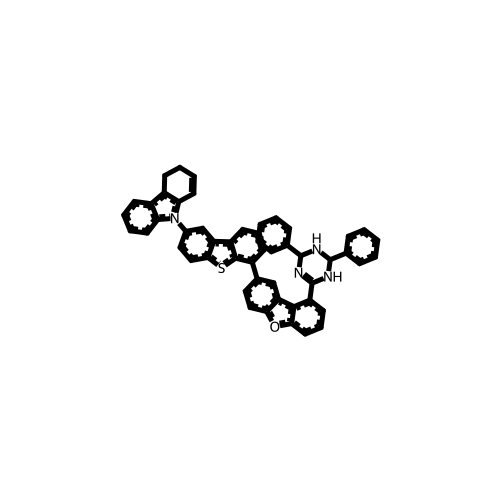 C1=Cc2c(c3ccccc3n2-c2ccc3sc4c(-c5ccc6oc7cccc(C8=NC(c9ccccc9)NC(c9ccccc9)N8)c7c6c5)cccc4c3c2)CC1